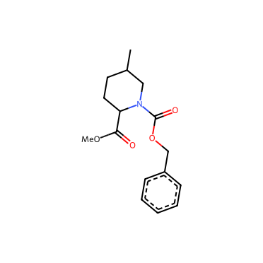 COC(=O)C1CCC(C)CN1C(=O)OCc1ccccc1